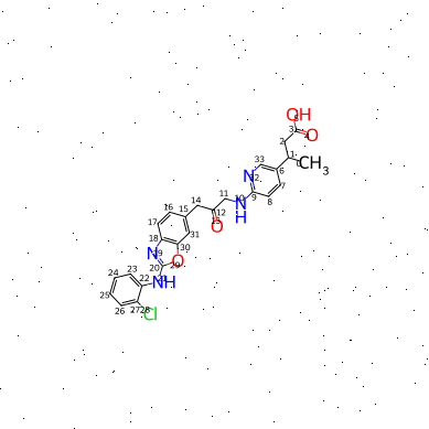 CC(CC(=O)O)c1ccc(NCC(=O)Cc2ccc3nc(Nc4ccccc4Cl)oc3c2)nc1